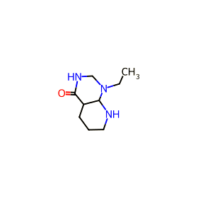 CCN1CNC(=O)C2CCCNC21